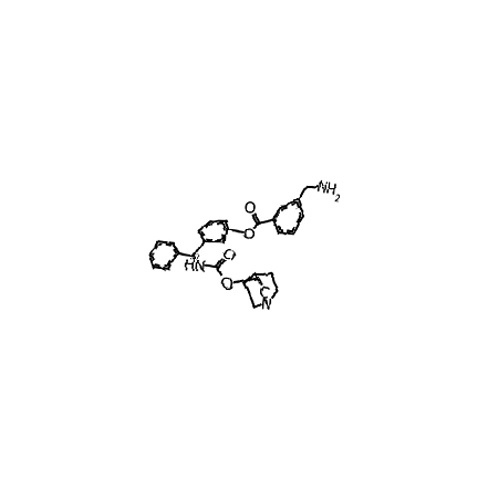 NCc1cccc(C(=O)Oc2cccc([C@@H](NC(=O)OC3CN4CCC3CC4)c3ccccc3)c2)c1